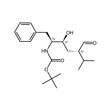 CC(C)[C@@H]([C]=O)C[C@H](O)[C@H](Cc1ccccc1)NC(=O)OC(C)(C)C